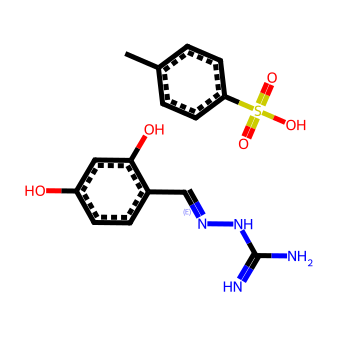 Cc1ccc(S(=O)(=O)O)cc1.N=C(N)N/N=C/c1ccc(O)cc1O